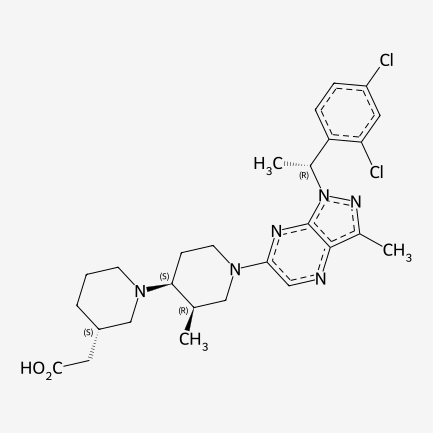 Cc1nn([C@H](C)c2ccc(Cl)cc2Cl)c2nc(N3CC[C@H](N4CCC[C@@H](CC(=O)O)C4)[C@H](C)C3)cnc12